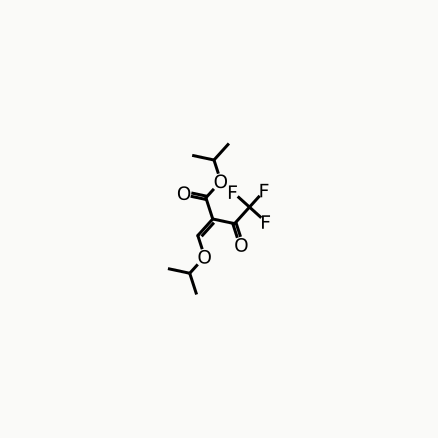 CC(C)O/C=C(/C(=O)OC(C)C)C(=O)C(F)(F)F